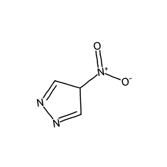 O=[N+]([O-])C1C=NN=C1